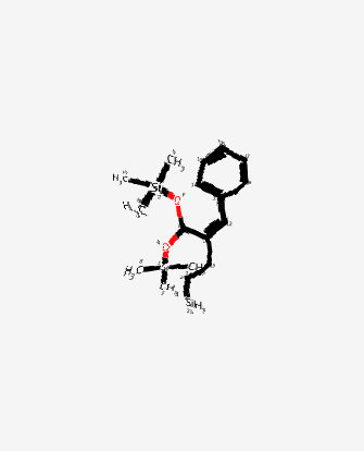 C[Si](C)(C)OC(O[Si](C)(C)C)C(=Cc1ccccc1)CC[SiH3]